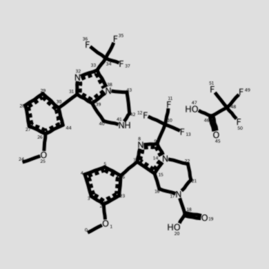 COc1cccc(-c2nc(C(F)(F)F)n3c2CN(C(=O)O)CC3)c1.COc1cccc(-c2nc(C(F)(F)F)n3c2CNCC3)c1.O=C(O)C(F)(F)F